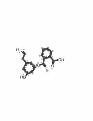 C=CCc1cccc(O)c1.O=C(O)c1ccccc1C(=O)O